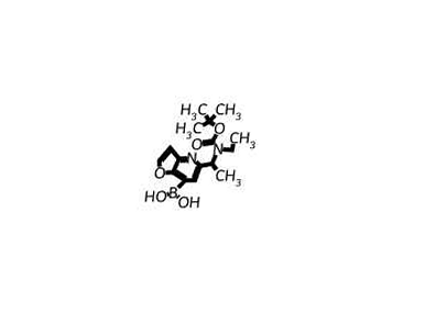 CCN(C(=O)OC(C)(C)C)C(C)c1cc(B(O)O)c2occc2n1